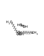 CCCCCCCCCCCC(O)OC(O)CCCCCCCCCCC.OCCO